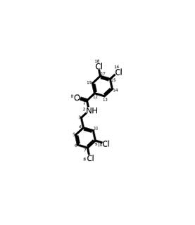 O=C(NCc1ccc(Cl)c(Cl)c1)c1ccc(Cl)c(Cl)c1